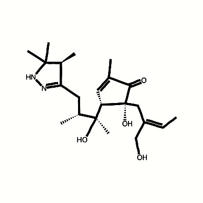 C/C=C(/CO)C[C@]1(O)C(=O)C(C)=C[C@H]1[C@@](C)(O)[C@H](C)CC1=NNC(C)(C)[C@H]1C